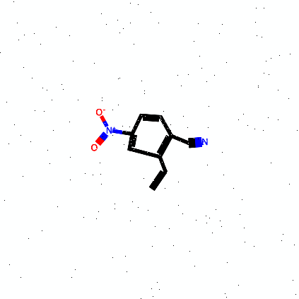 C=Cc1cc([N+](=O)[O-])ccc1C#N